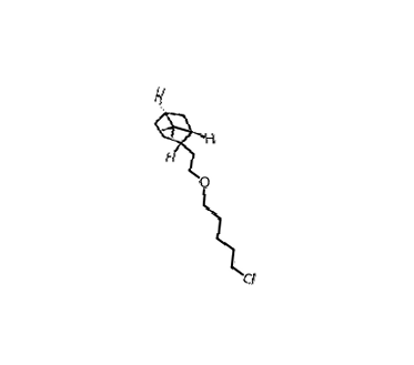 CC1(C)[C@H]2CC[C@@H](CCOCCCCCCl)[C@H]1C2